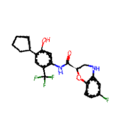 O=C(Nc1cc(O)c(C2CCCC2)cc1C(F)(F)F)[C@H]1CNc2cc(F)ccc2O1